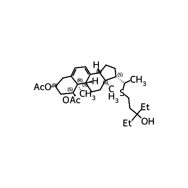 CCC(O)(CC)CCSC(C)[C@H]1CC[C@H]2C3=CC=C4C[C@@H](OC(C)=O)C[C@H](OC(C)=O)[C@]4(C)[C@H]3CC[C@]12C